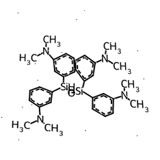 CN(C)c1cccc([SiH](O[SiH](c2cccc(N(C)C)c2)c2cccc(N(C)C)c2)c2cccc(N(C)C)c2)c1